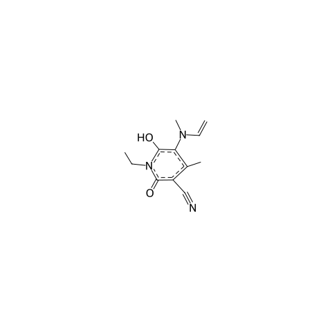 C=CN(C)c1c(C)c(C#N)c(=O)n(CC)c1O